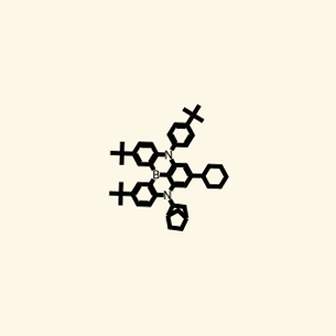 CC(C)(C)c1ccc(N2c3ccc(C(C)(C)C)cc3B3c4cc(C(C)(C)C)ccc4N(C4CC5CCC4C5)c4cc(C5CCCCC5)cc2c43)cc1